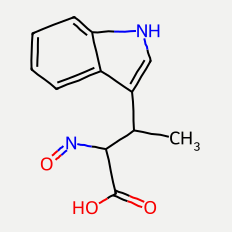 CC(c1c[nH]c2ccccc12)C(N=O)C(=O)O